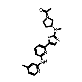 CC(=O)N1CC[C@@H](N(C)c2ncc(-c3cccc(Nc4cc(C)ccn4)n3)s2)C1